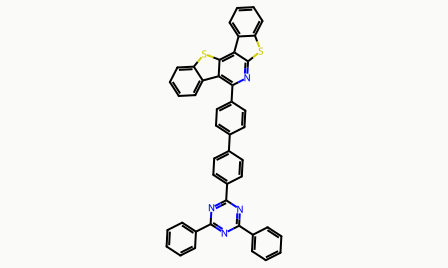 c1ccc(-c2nc(-c3ccccc3)nc(-c3ccc(-c4ccc(-c5nc6sc7ccccc7c6c6sc7ccccc7c56)cc4)cc3)n2)cc1